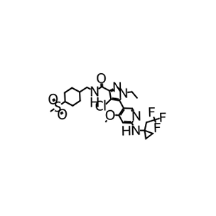 CCn1nc(C(=O)NCC2CCC(S(C)(=O)=O)CC2)c(Cl)c1-c1cnc(NC2(CC(F)(F)F)CC2)cc1OC